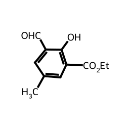 CCOC(=O)c1cc(C)cc(C=O)c1O